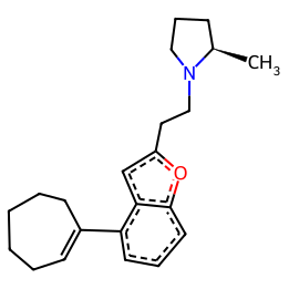 C[C@@H]1CCCN1CCc1cc2c(C3=CCCCCC3)cccc2o1